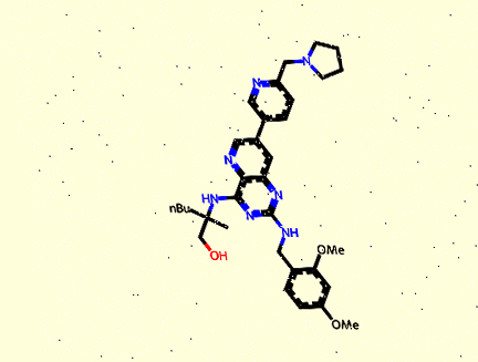 CCCCC(C)(CO)Nc1nc(NCc2ccc(OC)cc2OC)nc2cc(-c3ccc(CN4CCCC4)nc3)cnc12